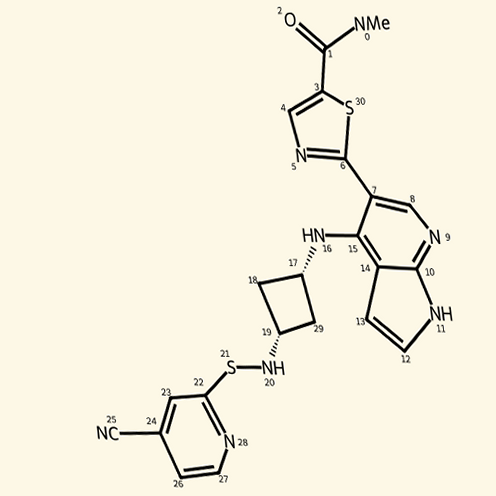 CNC(=O)c1cnc(-c2cnc3[nH]ccc3c2N[C@H]2C[C@@H](NSc3cc(C#N)ccn3)C2)s1